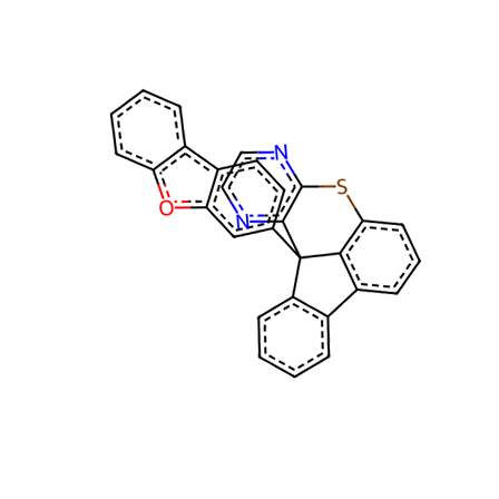 c1ccc2c(c1)-c1cccc3c1C2(c1ccc2c(c1)oc1ccccc12)c1nccnc1S3